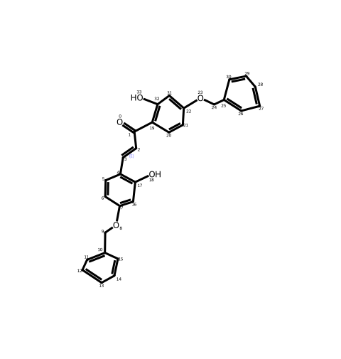 O=C(/C=C/c1ccc(OCc2ccccc2)cc1O)c1ccc(OCc2ccccc2)cc1O